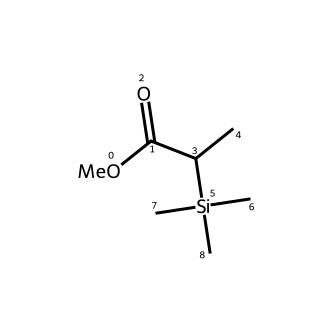 COC(=O)C(C)[Si](C)(C)C